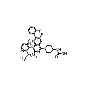 Cc1ccnc(C(C)C)c1-n1c(=O)nc(N2CCC(NC(=O)O)CC2)c2cc(F)c(-c3ccccc3F)nc21